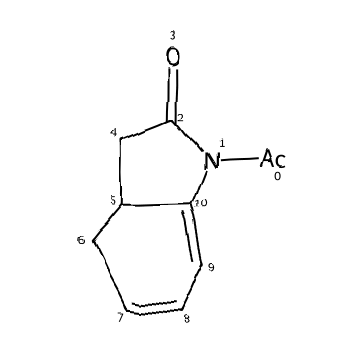 CC(=O)N1C(=O)CC2CC=CC=C21